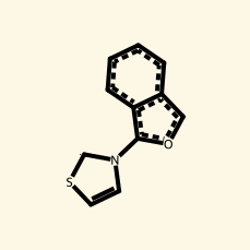 [CH]1SC=CN1c1occ2ccccc12